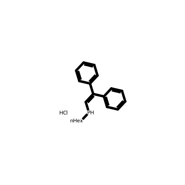 CCCCCCPC=C(c1ccccc1)c1ccccc1.Cl